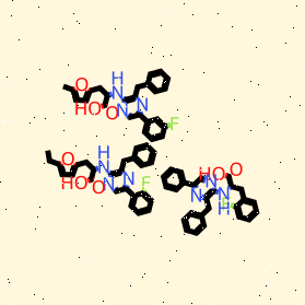 CCc1ccc(CC(Nc2ncc(-c3ccccc3F)nc2Cc2ccccc2)C(=O)O)o1.Cc1ccc(CC(Nc2ncc(-c3cccc(F)c3)nc2Cc2ccccc2)C(=O)O)o1.O=C(O)C(Cc1ccccc1F)Nc1ncc(-c2ccccc2)nc1Cc1ccccc1